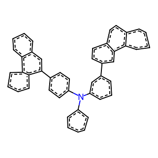 c1ccc(N(c2ccc(-c3cc4ccccc4c4ccccc34)cc2)c2cccc(-c3ccc4ccc5ccccc5c4c3)c2)cc1